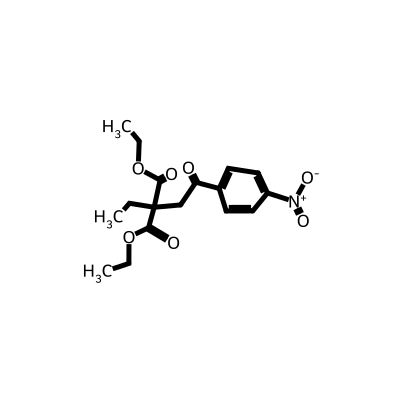 CCOC(=O)C(CC)(CC(=O)c1ccc([N+](=O)[O-])cc1)C(=O)OCC